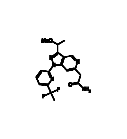 COC(C)c1nn(-c2cccc(C(C)(F)F)n2)c2cc(CC(N)=O)ncc12